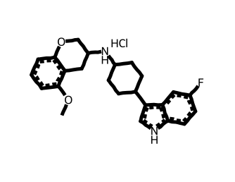 COc1cccc2c1CC(NC1CCC(c3c[nH]c4ccc(F)cc34)CC1)CO2.Cl